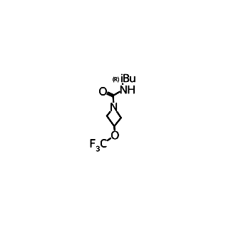 CC[C@@H](C)NC(=O)N1CC(OC(F)(F)F)C1